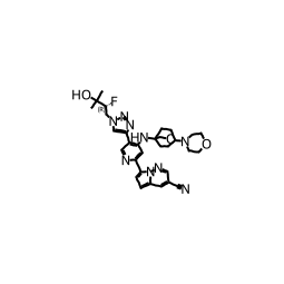 CC(C)(O)[C@H](F)Cn1cc(-c2cnc(-c3ccc4cc(C#N)cnn34)cc2NC23CCC(N4CCOCC4)(CC2)CC3)nn1